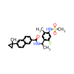 Cc1cc(C(C)NC(=O)c2ccc3cc(C4(C)CC4)ccc3c2)c(F)cc1NS(C)(=O)=O